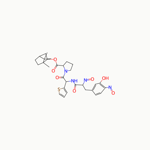 CC1(C)C2CCC1(C)C(OC(=O)C1CCCN1C(=O)C(NC(=O)C(Cc1ccc(N=O)c(O)c1)N=O)c1cccs1)C2